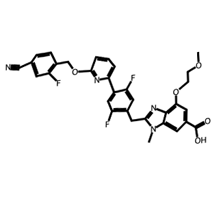 COCCOc1cc(C(=O)O)cc2c1nc(Cc1cc(F)c(-c3cccc(OCc4ccc(C#N)cc4F)n3)cc1F)n2C